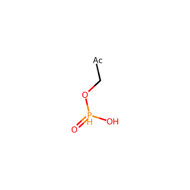 CC(=O)CO[PH](=O)O